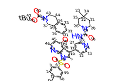 Cc1ccc(S(=O)(=O)n2cc(-c3ccnc(NC(=O)N4CCC(C)(C)CC4)c3)c3c(Oc4ccc5c(c4)CN(C(=O)OC(C)(C)C)CC5)ccnc32)cc1